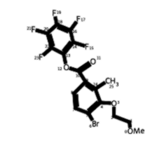 COCCOc1c(Br)ccc(C(=O)Oc2c(F)c(F)c(F)c(F)c2F)c1C